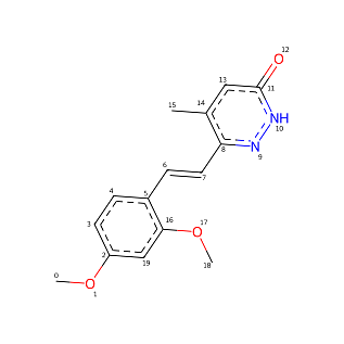 COc1ccc(/C=C/c2n[nH]c(=O)cc2C)c(OC)c1